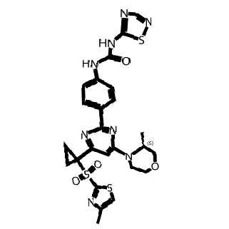 Cc1csc(S(=O)(=O)C2(c3cc(N4CCOC[C@@H]4C)nc(-c4ccc(NC(=O)Nc5ncns5)cc4)n3)CC2)n1